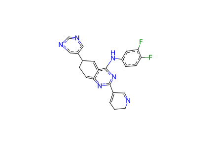 Fc1ccc(Nc2nc(C3=CCCN=C3)nc3c2=CC(c2cncnc2)CC=3)cc1F